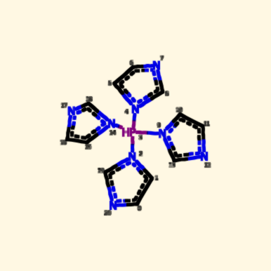 c1cn([PH](n2ccnc2)(n2ccnc2)n2ccnc2)cn1